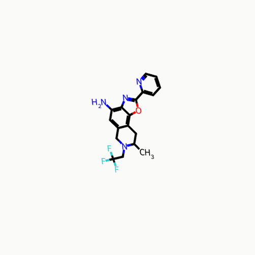 CC1Cc2c(cc(N)c3nc(-c4ccccn4)oc23)CN1CC(F)(F)F